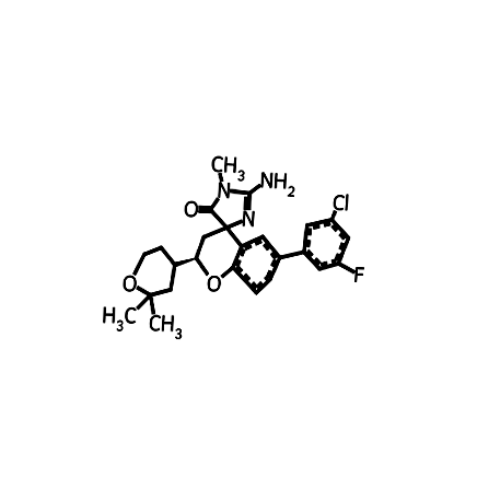 CN1C(=O)C2(C[C@H](C3CCOC(C)(C)C3)Oc3ccc(-c4cc(F)cc(Cl)c4)cc32)N=C1N